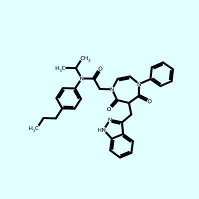 CCCc1ccc(N(C(=O)CN2C=CN(c3ccccc3)C(=O)C(Cc3n[nH]c4ccccc34)C2=O)C(C)C)cc1